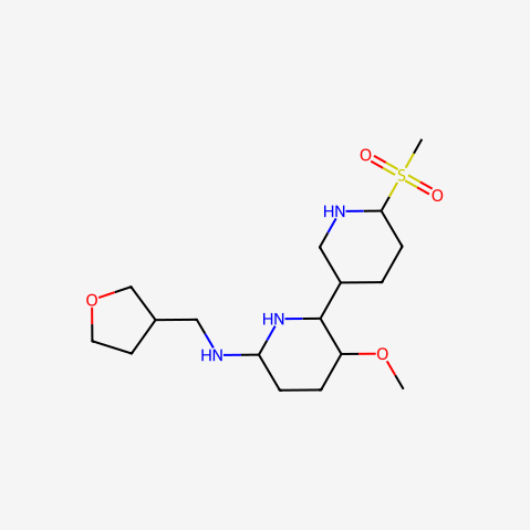 COC1CCC(NCC2CCOC2)NC1C1CCC(S(C)(=O)=O)NC1